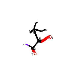 CC(C)(C)C(=O)C(=O)I